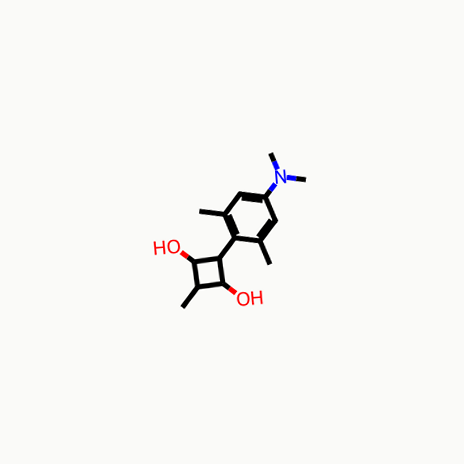 Cc1cc(N(C)C)cc(C)c1C1C(O)C(C)C1O